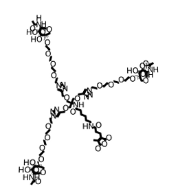 CC(=O)N[C@H]1[C@H]2OC[C@](COCCOCCOCCOCCn3cc(COCC(COCc4cn(CCOCCOCCOCCOC[C@@]56CO[C@@H](O5)[C@H](NC(C)=O)[C@@H](O)[C@H]6O)nn4)(COCc4cn(CCOCCOCCOCCOC[C@@]56CO[C@@H](O5)[C@H](NC(C)=O)[C@@H](O)[C@H]6O)nn4)NC(=O)CCCCCNC(=O)CCC4=C(C)C(=O)OC4=O)nn3)(O2)[C@H](O)[C@@H]1O